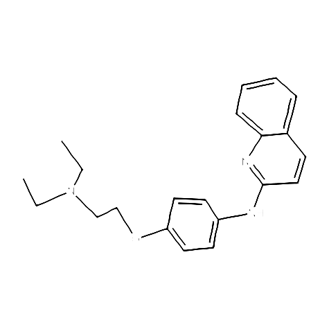 CCN(CC)CCOc1ccc(Nc2ccc3ccccc3n2)cc1